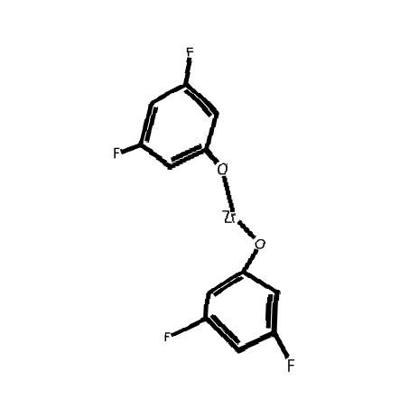 Fc1cc(F)cc([O][Zr][O]c2cc(F)cc(F)c2)c1